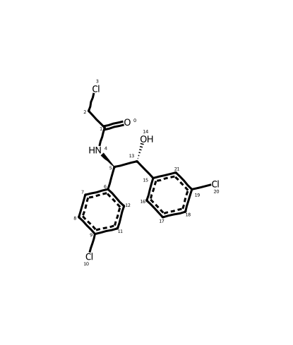 O=C(CCl)N[C@H](c1ccc(Cl)cc1)[C@H](O)c1cccc(Cl)c1